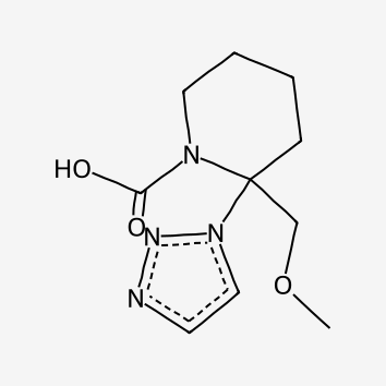 COCC1(n2ccnn2)CCCCN1C(=O)O